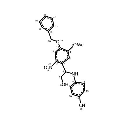 COc1cc(C(CO)Nc2ccc(C#N)cc2)c([N+](=O)[O-])cc1OCc1ccccc1